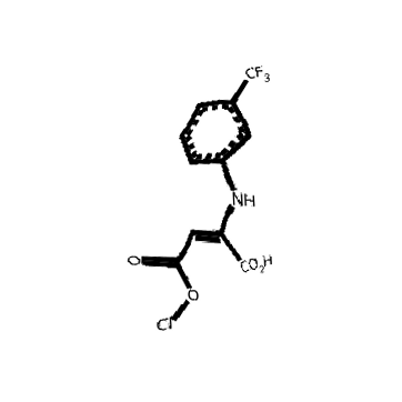 O=C(C=C(Nc1cccc(C(F)(F)F)c1)C(=O)O)OCl